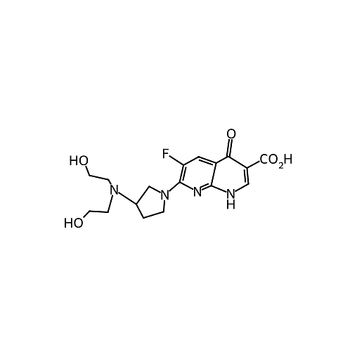 O=C(O)c1c[nH]c2nc(N3CCC(N(CCO)CCO)C3)c(F)cc2c1=O